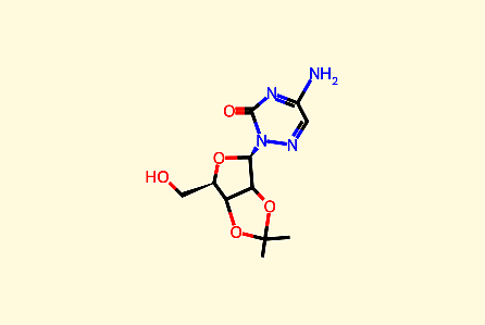 CC1(C)OC2C(O1)[C@@H](CO)O[C@H]2n1ncc(N)nc1=O